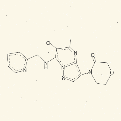 Cc1nc2c(N3CCOCC3=O)cnn2c(NCc2ccccn2)c1Cl